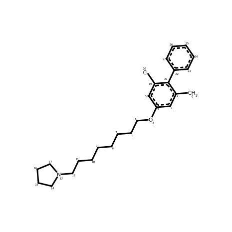 Cc1cc(OCCCCCCCCN2CCCC2)cc(Cl)c1-c1ccccc1